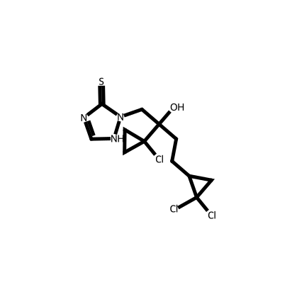 OC(CCC1CC1(Cl)Cl)(Cn1[nH]cnc1=S)C1(Cl)CC1